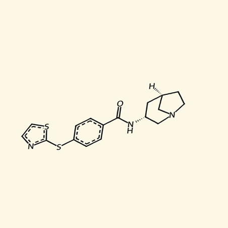 O=C(N[C@@H]1C[C@H]2CCN(C2)C1)c1ccc(Sc2nccs2)cc1